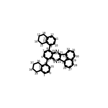 c1cc2c(c(-c3ccc(-c4cccc5c4CCCC5)c4nc5c(nc34)-c3cccc4cccc-5c34)c1)CCCC2